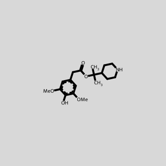 COc1cc(CC(=O)OC(C)(C)C2CCNCC2)cc(OC)c1O